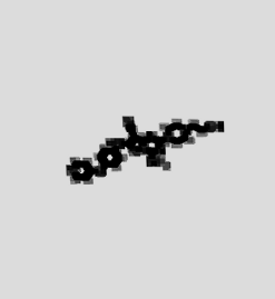 N#Cc1c(Nc2ccc(Oc3ccncc3)cc2)nn2c(N)nc(N3CCN(CCO)CC3)nc12